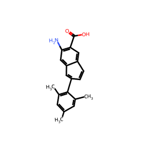 Cc1cc(C)c(-c2ccc3cc(C(=O)O)c(N)cc3c2)c(C)c1